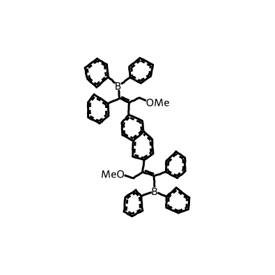 COCC(=C(B(c1ccccc1)c1ccccc1)c1ccccc1)c1ccc2cc(C(COC)=C(B(c3ccccc3)c3ccccc3)c3ccccc3)ccc2c1